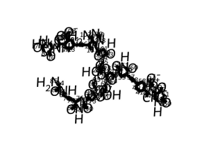 CC(NC1CNC(=O)SC1=O)c1ccc(C#Cc2cn([C@H]3C[C@H](O)[C@@H](COP(=O)(O)O[C@H]4C[C@H](n5cc(C#Cc6ccc(C(C)OC7CNC(=O)SC7=O)c([N+](=O)[O-])c6)c(=O)[nH]c5=O)O[C@@H]4COP(=O)(O)O[C@H]4C[C@H](n5cc(C#CCNC(=O)CN)c(=O)[nH]c5=O)O[C@@H]4COI)O3)c3ncnc(N)c23)cc1[N+](=O)[O-]